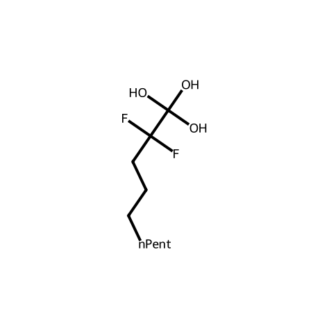 CCCCCCCCC(F)(F)C(O)(O)O